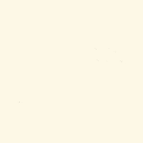 COc1ccc(C(=O)SCCOP(=O)(COCCn2cnc3c(=O)[nH]c(N)nc32)OCc2cccc(F)c2)cc1